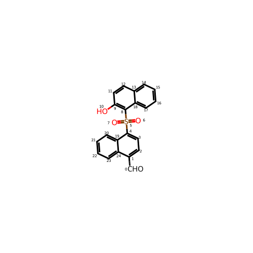 O=Cc1ccc(S(=O)(=O)c2c(O)ccc3ccccc23)c2ccccc12